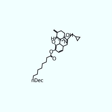 C=C1CC[C@@]2(O)C3CC4C=CC(OC(=O)CCCCCCCCCCCCCCCCC)=C5O[C@@H]1[C@]2(CCN3CC1CC1)C54